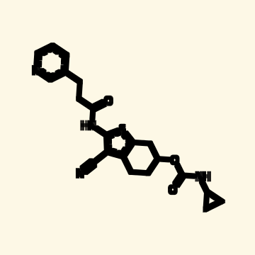 N#Cc1c(NC(=O)CCc2cccnc2)sc2c1CCC(OC(=O)NC1CC1)C2